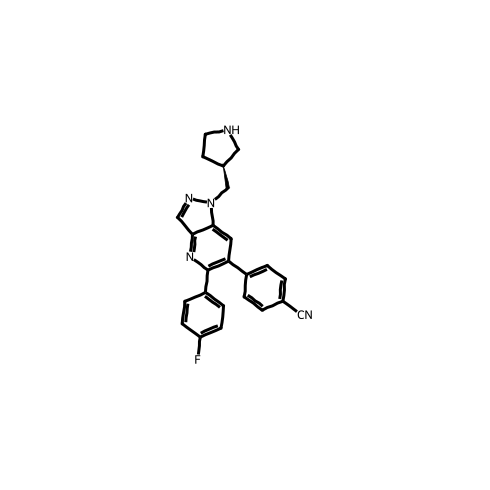 N#Cc1ccc(-c2cc3c(cnn3C[C@H]3CCNC3)nc2-c2ccc(F)cc2)cc1